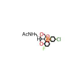 CC(=O)NCC[C@@H]1OCC[C@@]2(S(=O)(=O)c3ccc(Cl)cc3)c3c(F)ccc(F)c3OC[C@@H]12